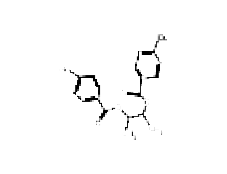 CCC(C)c1ccc(C(=O)OC(C)C(C)OC(=O)c2ccc(C(C)CC)cc2)cc1